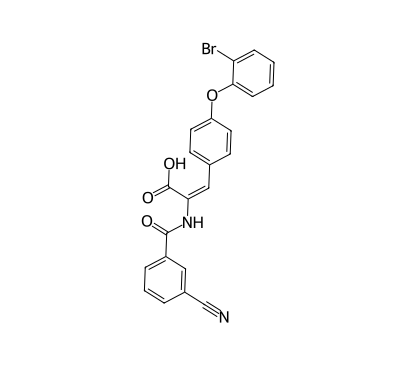 N#Cc1cccc(C(=O)N/C(=C/c2ccc(Oc3ccccc3Br)cc2)C(=O)O)c1